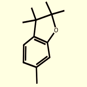 Cc1ccc2c(c1)OC(C)(C)C2(C)C